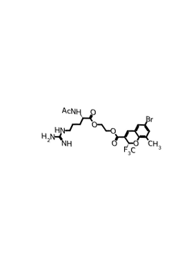 CC(=O)N[C@@H](CCCNC(=N)N)C(=O)OCCOC(=O)C1=Cc2cc(Br)cc(C)c2O[C@@H]1C(F)(F)F